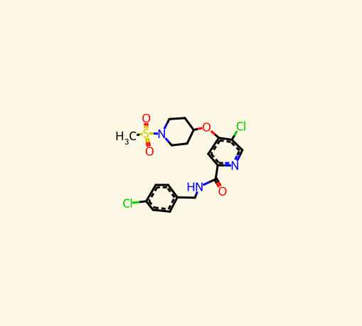 CS(=O)(=O)N1CCC(Oc2cc(C(=O)NCc3ccc(Cl)cc3)ncc2Cl)CC1